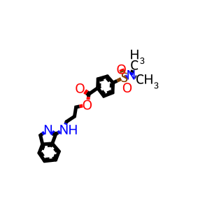 CN(C)S(=O)(=O)c1ccc(C(=O)OCCCNC2=NCc3ccccc32)cc1